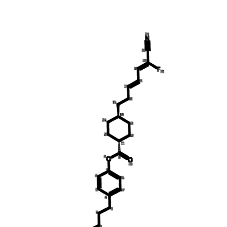 CCCCc1ccc(OC(=O)[C@H]2CC[C@H](CCC=CC=C(F)C#N)CC2)cc1